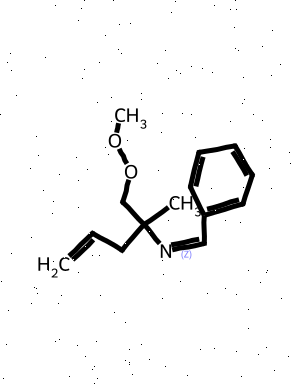 C=CCC(C)(COOC)/N=C\c1ccccc1